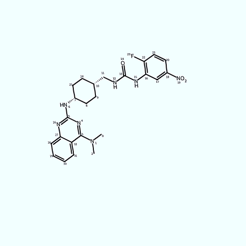 CN(C)c1nc(N[C@H]2CC[C@@H](CNC(=O)Nc3cc([N+](=O)[O-])ccc3F)CC2)nc2ccccc12